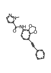 Cn1nccc1C(=O)Nc1ccc(C#Cc2ccccc2)c2c1OCO2